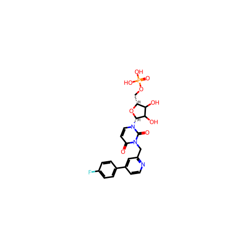 O=c1ccn([C@@H]2O[C@H](COP(=O)(O)O)C(O)C2O)c(=O)n1Cc1cc(-c2ccc(F)cc2)ccn1